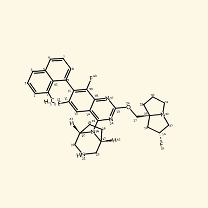 Cc1cccc2cccc(-c3c(F)cc4c(N5[C@@H]6CC[C@H]5CNC6)nc(OC[C@@]56CCCN5C[C@H](F)C6)nc4c3F)c12